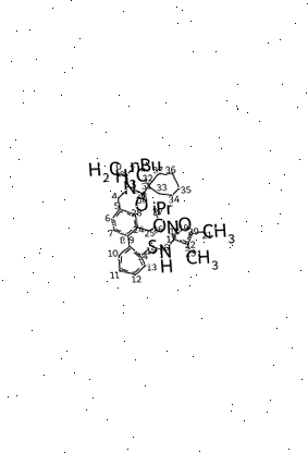 C=C(CCCC)N(Cc1ccc(-c2ccccc2SNc2noc(C)c2C)c(COC(C)C)c1)C(=O)C1(C)CCCCC1